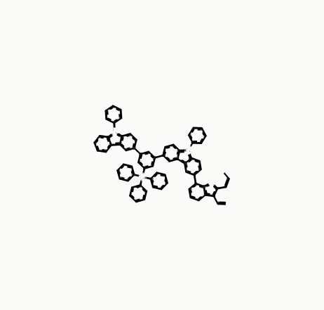 C=Cc1c(/C=C\C)sc2c(-c3ccc4c(c3)c3cc(-c5cc(-c6ccc7c(c6)c6ccccc6n7-c6ccccc6)cc([Si](c6ccccc6)(c6ccccc6)c6ccccc6)c5)ccc3n4-c3ccccc3)cccc12